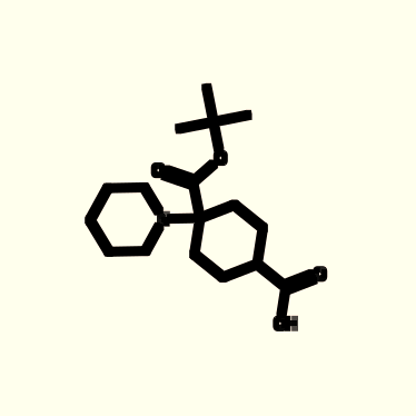 CC(C)(C)OC(=O)C1(N2CCCCC2)CC[C](C(=O)O)CC1